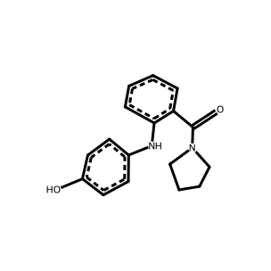 O=C(c1ccccc1Nc1ccc(O)cc1)N1CCCC1